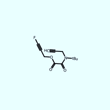 C#CCN(C(=O)C(=O)OCC#CF)C(C)(C)C